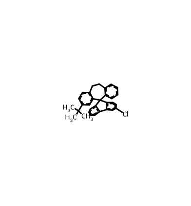 CC(C)(C)c1ccc2c(c1)C1(c3ccccc3CC2)c2ccccc2-c2cc(Cl)ccc21